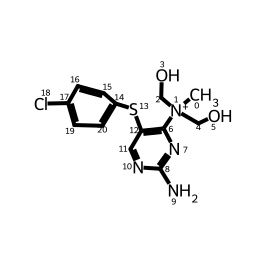 C[N+](CO)(CO)c1nc(N)ncc1Sc1ccc(Cl)cc1